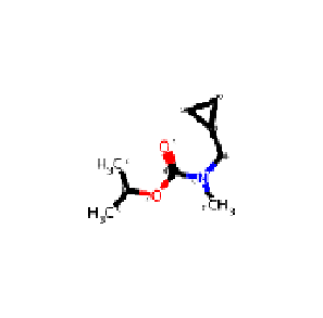 CC(C)OC(=O)N(C)CC1CC1